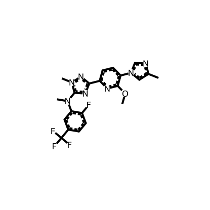 COc1nc(-c2nc(N(C)c3cc(C(F)(F)F)ccc3F)n(C)n2)ccc1-n1cnc(C)c1